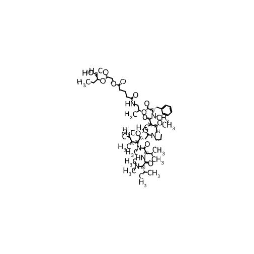 CCC(CO)OC(COC(=O)CCCC(=O)NCC(C)OC(=O)[C@H](Cc1ccccc1)N(C)C(=O)[C@H](C)[C@@H](OC)[C@@H]1CCCN1C(=O)C[C@@H](OC)[C@H]([C@@H](C)CC)N(C)C(=O)[C@@H](NC(=O)[C@H](C(C)C)N(C)C)C(C)C)OC